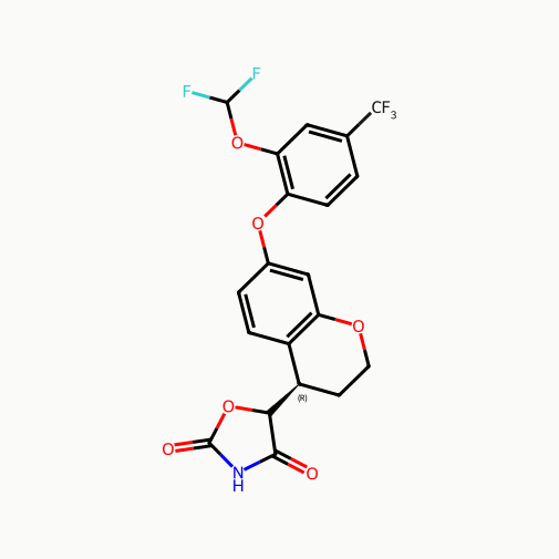 O=C1NC(=O)C([C@@H]2CCOc3cc(Oc4ccc(C(F)(F)F)cc4OC(F)F)ccc32)O1